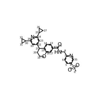 CS(=O)(=O)c1ccc(CNC(=O)c2ccc3c(c2)OCCC3c2cc(C3CC3)nc(C3CC3)c2)nc1